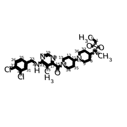 CCS(=O)(=O)N(C)C1CCN(C2CCN(C(=O)c3ncnc(NCc4ccc(Cl)c(Cl)c4)c3C)CC2)CC1